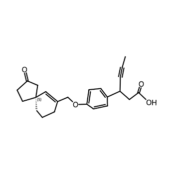 CC#CC(CC(=O)O)c1ccc(OCC2=C[C@@]3(CCC2)CCC(=O)C3)cc1